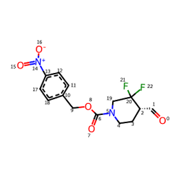 O=C[C@@H]1CCN(C(=O)OCc2ccc([N+](=O)[O-])cc2)CC1(F)F